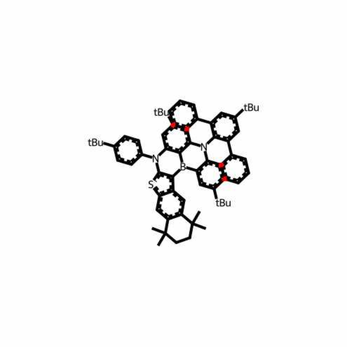 CC(C)(C)c1ccc(N2c3cc(C(C)(C)C)cc4c3B(c3cc(C(C)(C)C)ccc3N4c3c(-c4ccccc4)cc(C(C)(C)C)cc3-c3ccccc3)c3c2sc2cc4c(cc32)C(C)(C)CCC4(C)C)cc1